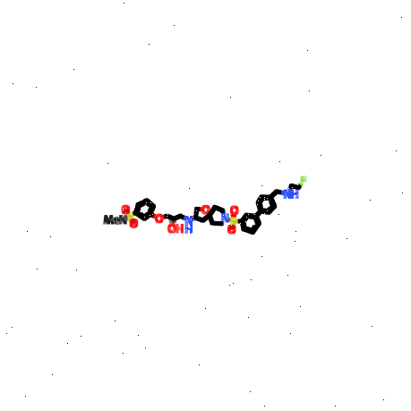 CNS(=O)(=O)c1cccc(OC[C@@H](O)CNC2COC3(CCN(S(=O)(=O)c4cccc(-c5ccc(CNCCF)cc5)c4)CC3)C2)c1